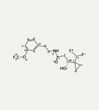 O=C(C[C@@H](O)C1(C(F)F)CC1)NCCc1cccc(OC(F)(F)F)c1